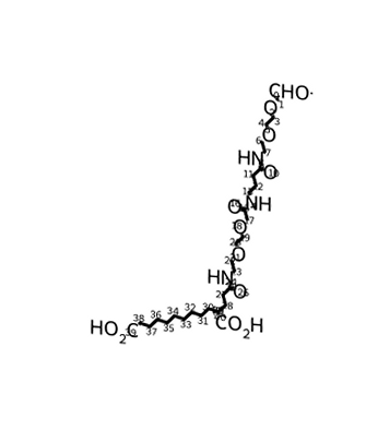 O=[C]COCCOCCNC(=O)CCCNC(=O)COCCOCCNC(=O)CC[C@H](CCCCCCCCCC(=O)O)C(=O)O